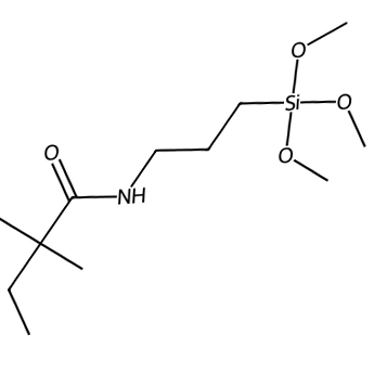 CCC(C)(C)C(=O)NCCC[Si](OC)(OC)OC